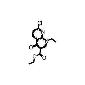 CCOC(=O)c1cn(CC)c2nc(Cl)ccc2c1=O